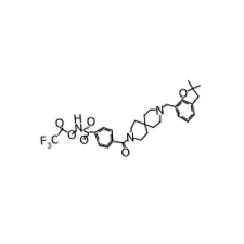 CC1(C)Cc2cccc(CN3CCC4(CC3)CCN(C(=O)c3ccc(S(=O)(=O)NOC(=O)C(F)(F)F)cc3)CC4)c2O1